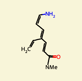 C=C/C(C=CC(=O)NC)=C\C=C/N